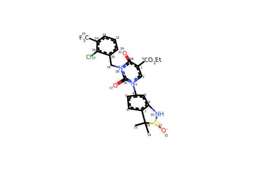 CCOC(=O)c1cn(-c2ccc3c(c2)N[S+]([O-])C3(C)C)c(=O)n(Cc2cccc(C(F)(F)F)c2Cl)c1=O